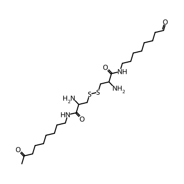 CC(=O)CCCCCCCNC(=O)C(N)CSSCC(N)C(=O)NCCCCCCCC=O